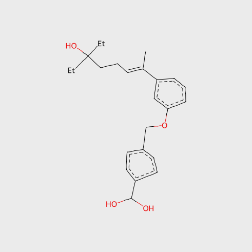 CCC(O)(CC)CCC=C(C)c1cccc(OCc2ccc(C(O)O)cc2)c1